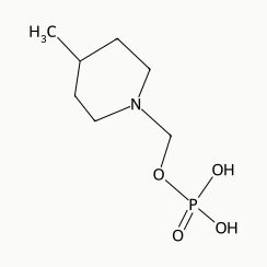 CC1CCN(COP(=O)(O)O)CC1